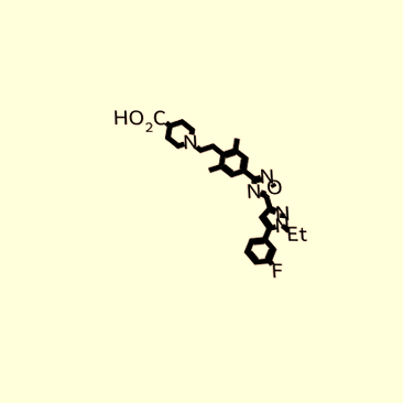 CCn1nc(-c2nc(-c3cc(C)c(CCN4CCC(C(=O)O)CC4)c(C)c3)no2)cc1-c1cccc(F)c1